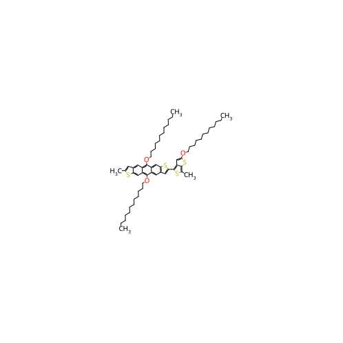 CCCCCCCCCCCCOc1cc2c(-c3cc4cc5c(OCCCCCCCCCCCC)c6cc7sc(C)cc7cc6c(OCCCCCCCCCCCC)c5cc4s3)sc(C)c2s1